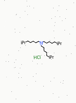 CC(C)CCCCCN(CCCCCC(C)C)CCCCCC(C)C.Cl